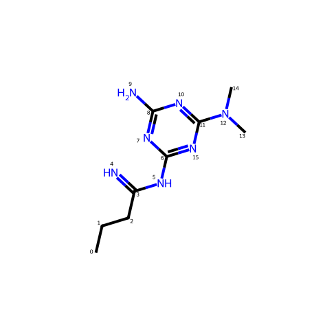 CCCC(=N)Nc1nc(N)nc(N(C)C)n1